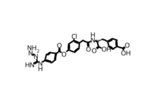 N=C(N=NN)Nc1ccc(C(=O)Oc2ccc(CC(=O)N[C@@H](Cc3ccc(C(=O)O)cc3)C(=O)O)c(Cl)c2)cc1